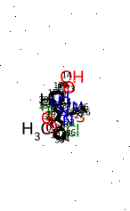 COC(=O)C1=C(CN2[C@@H]3C[C@H](CC(=O)O)C[C@H]2C(F)(F)C3)NC(c2nccs2)=N[C@H]1c1ccccc1Cl